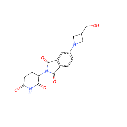 O=C1CCC(N2C(=O)c3ccc(N4CC(CO)C4)cc3C2=O)C(=O)N1